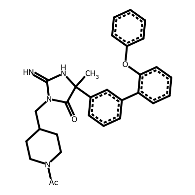 CC(=O)N1CCC(CN2C(=N)NC(C)(c3cccc(-c4ccccc4Oc4ccccc4)c3)C2=O)CC1